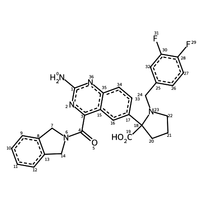 Nc1nc(C(=O)N2Cc3ccccc3C2)c2cc(C3(C(=O)O)CCCN3Cc3ccc(F)c(F)c3)ccc2n1